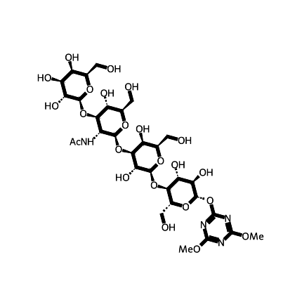 COc1nc(OC)nc(O[C@@H]2O[C@H](CO)[C@@H](O[C@@H]3O[C@H](CO)[C@H](O)[C@H](O[C@@H]4O[C@H](CO)[C@@H](O)[C@H](O[C@@H]5O[C@H](CO)[C@H](O)[C@H](O)[C@H]5O)[C@H]4NC(C)=O)[C@H]3O)[C@H](O)[C@H]2O)n1